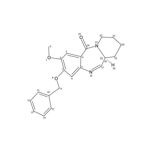 COc1cc2c(cc1OCc1ccccc1)N=C[C@@H]1CCCCN1C2=O